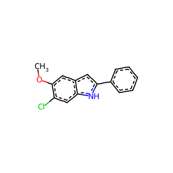 COc1cc2cc(-c3ccccc3)[nH]c2cc1Cl